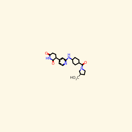 O=C1CCC(c2ccnc(NC3CCC(C(=O)N4CC[C@@H](C(=O)O)C4)CC3)c2)C(=O)N1